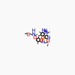 CCOCCNC(=O)C[C@@H](c1ccc(C)c(CN2C[C@@H](CC)Oc3ncccc3S2(=O)=O)c1)c1ccc2c(nnn2CC)c1C